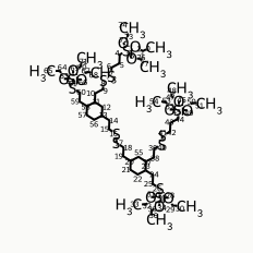 CCO[Si](CCCSSCCC1CC(CCSSCCC2CCC(CCS[Si](OCC)(OCC)OCC)C(CCSSCCC[Si](OCC)(OCC)OCC)C2)CCC1CCS[Si](OCC)(OCC)OCC)(OCC)OCC